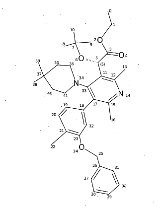 CCOC(=O)[C@@H](OC(C)(C)C)c1c(C)nc(C)c(-c2ccc(C)c(OCc3ccccc3)c2)c1N1CCC(C)(C)CC1